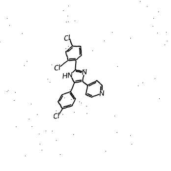 Clc1ccc(-c2[nH]c(-c3ccc(Cl)cc3Cl)nc2-c2ccncc2)cc1